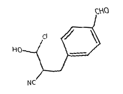 N#CC(Cc1ccc(C=O)cc1)C(O)Cl